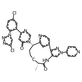 C[C@@H]1CCC[C@H](n2cnc(-c3cc(Cl)ccc3-n3cc(Cl)nn3)cc2=O)c2cc(ccn2)-c2nn(-c3ccncc3)cc2NC1=O